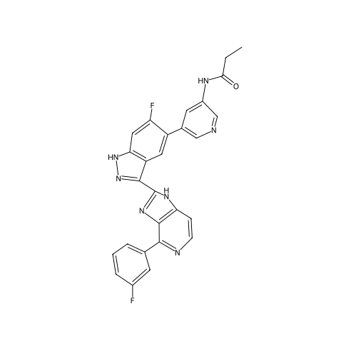 CCC(=O)Nc1cncc(-c2cc3c(-c4nc5c(-c6cccc(F)c6)nccc5[nH]4)n[nH]c3cc2F)c1